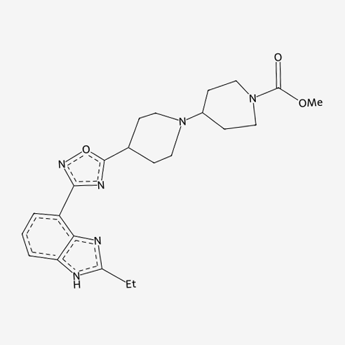 CCc1nc2c(-c3noc(C4CCN(C5CCN(C(=O)OC)CC5)CC4)n3)cccc2[nH]1